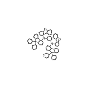 c1ccc(C2(c3ccccc3)c3ccccc3-c3c(N(c4cccc(N(c5cccc6c5-c5ccccc5C6(c5ccccc5)c5ccccc5)c5cccc6oc7ccccc7c56)c4)c4cccc5oc6ccccc6c45)cccc32)cc1